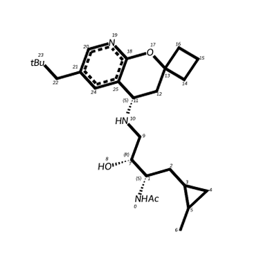 CC(=O)N[C@@H](CC1CC1C)[C@H](O)CN[C@H]1CC2(CCC2)Oc2ncc(CC(C)(C)C)cc21